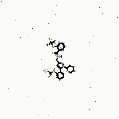 CC(=O)Nc1ccccc1-c1cc(CNC(=O)c2ccccc2OC(F)(F)F)nn1C1CCCCO1